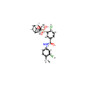 Cc1ccc(NC(=O)c2ccc(Cl)c(S(=O)(=O)[C@H]3CC4CC(C3)[C@@]4(C)O)c2)cc1F